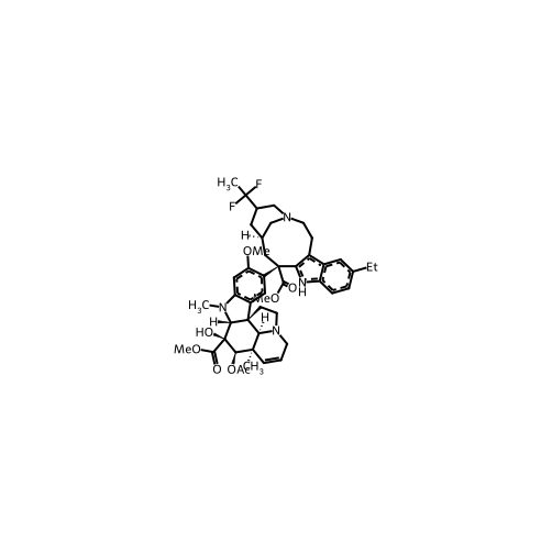 CCc1ccc2[nH]c3c(c2c1)CCN1CC(C(C)(F)F)C[C@@H](C1)C[C@]3(C(=O)OC)c1cc2c(cc1OC)N(C)[C@H]1[C@@](O)(C(=O)OC)[C@H](OC(C)=O)[C@]3(C)C=CCN4CC[C@]21[C@@H]43